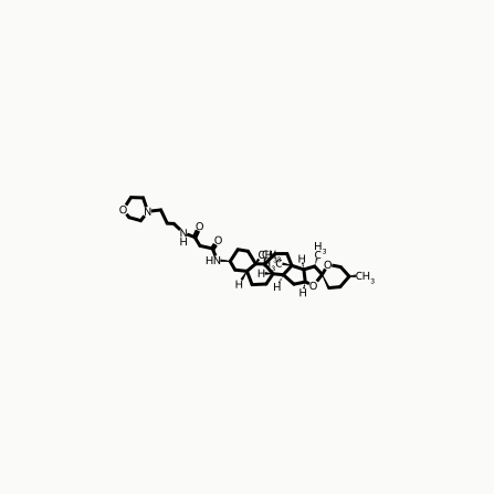 C[C@H]1CC[C@@]2(OC1)O[C@H]1C[C@H]3[C@@H]4CC[C@@H]5C[C@@H](NC(=O)CC(=O)NCCCN6CCOCC6)CC[C@]5(C)[C@@]4(C)CC[C@]3(C)[C@H]1[C@@H]2C